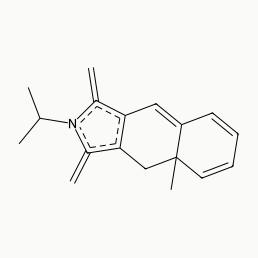 C=c1c2c(c(=C)n1C(C)C)CC1(C)C=CC=CC1=C2